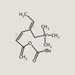 C=C(/C=C\C(=C/C)C[N+](C)(C)C)OC(=O)C(C)(C)C